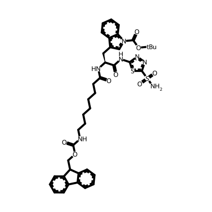 CC(C)(C)OC(=O)n1cc(C[C@H](NC(=O)CCCCCCCNC(=O)OCC2c3ccccc3-c3ccccc32)C(=O)Nc2nnc(S(N)(=O)=O)s2)c2ccccc21